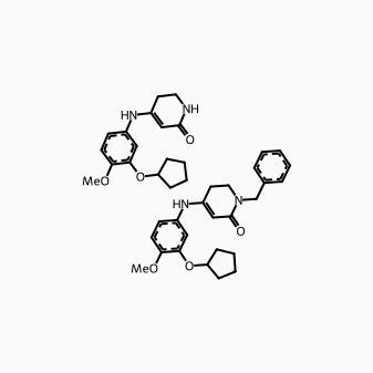 COc1ccc(NC2=CC(=O)N(Cc3ccccc3)CC2)cc1OC1CCCC1.COc1ccc(NC2=CC(=O)NCC2)cc1OC1CCCC1